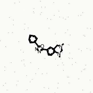 CN1Cc2cc(-c3nnc(-c4ccccc4)o3)ccc2N(C)C1